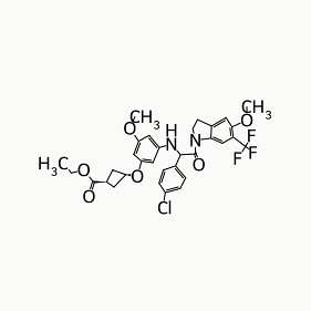 CCOC(=O)[C@H]1C[C@@H](Oc2cc(NC(C(=O)N3CCc4cc(OC)c(C(F)(F)F)cc43)c3ccc(Cl)cc3)cc(OC)c2)C1